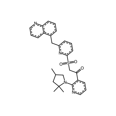 CC1CN(c2ncccc2C(=O)CS(=O)(=O)c2cccc(Cc3cccc4ncccc34)n2)C(C)(C)C1